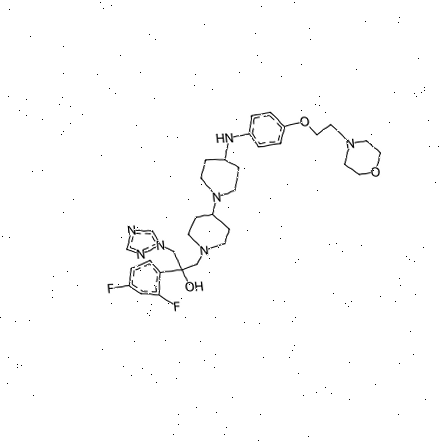 OC(CN1CCC(N2CCC(Nc3ccc(OCCN4CCOCC4)cc3)CC2)CC1)(Cn1cncn1)c1ccc(F)cc1F